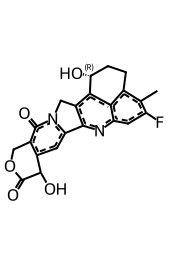 Cc1c(F)cc2nc3c(c4c2c1CC[C@H]4O)Cn1c-3cc2c(c1=O)COC(=O)C2O